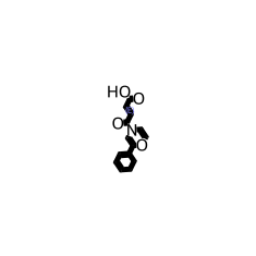 O=C(O)/C=C/C(=O)N1C=COC(C2=CC=CCC2)=C1